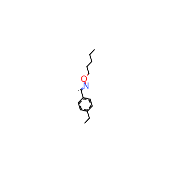 CCCCCO/N=[C]/c1ccc(CC)cc1